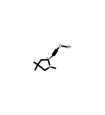 CC(C)OC#C[C@@H]1CC(C)(C)CN1C